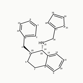 c1ccc(C[C@@H]2CCc3ccccc3[C@H]2NCc2cccs2)cc1